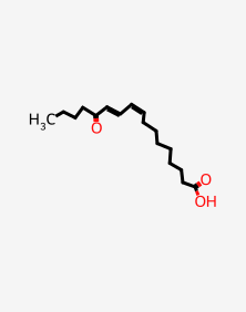 CCCCC(=O)/C=C/C=C\CCCCCCCC(=O)O